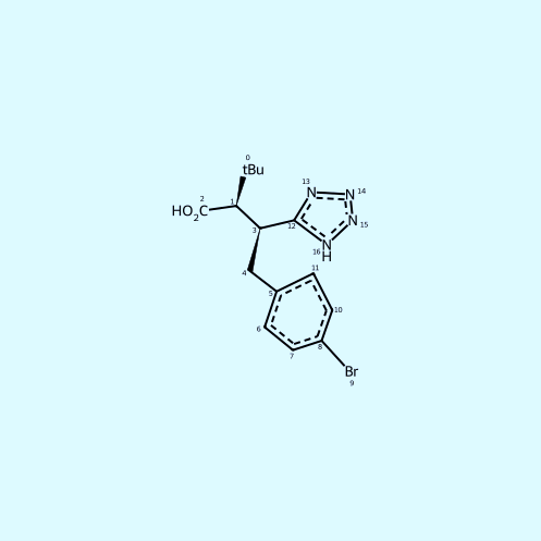 CC(C)(C)[C@H](C(=O)O)[C@H](Cc1ccc(Br)cc1)c1nnn[nH]1